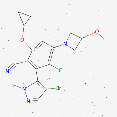 COC1CN(c2cc(OC3CC3)c(C#N)c(-c3c(Br)cnn3C)c2F)C1